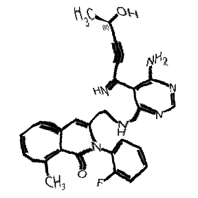 Cc1cccc2cc(CNc3ncnc(N)c3C(=N)C#C[C@@H](C)O)n(-c3ccccc3F)c(=O)c12